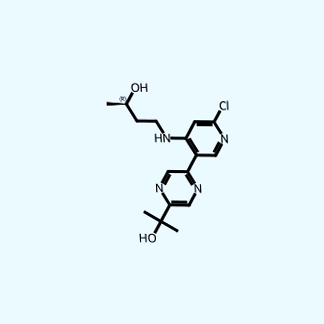 C[C@@H](O)CCNc1cc(Cl)ncc1-c1cnc(C(C)(C)O)cn1